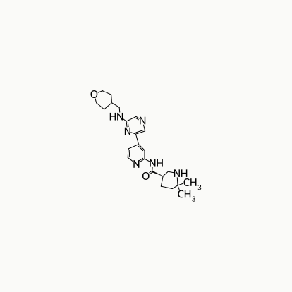 CC1(C)CC[C@@H](C(=O)Nc2cc(-c3cncc(NCC4CCOCC4)n3)ccn2)CN1